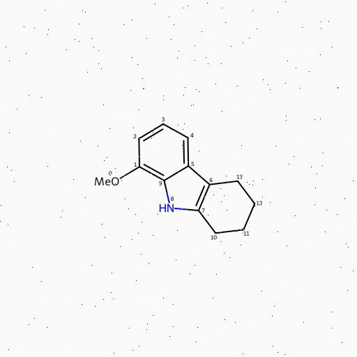 COc1cccc2c3c([nH]c12)CC[CH]C3